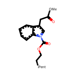 CCCC(C)CCOC(=O)n1cc(CC(=O)OC)c2ccccc21